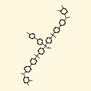 CCCCC(c1ccc(-c2ccc(C)cc2)cc1)(c1ccc(C(C)(C)c2ccc(-c3ccc(N(C)c4ccc(C)c(C)c4)cc3)cc2)cc1)c1ccc(C(C)(C)c2ccc(-c3ccc(N(C)c4ccc(C)c(C)c4)cc3)cc2)cc1